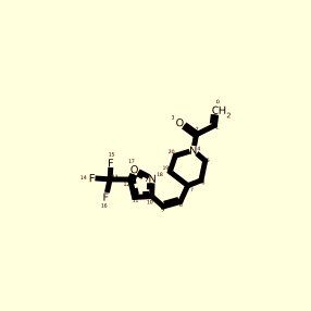 C=CC(=O)N1CCC(/C=C\c2cc(C(F)(F)F)on2)CC1